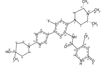 C[C@@H]1CN(c2cc(F)c(-c3cnc(N4CCC(C)(O)CC4)nc3)cc2NC(=O)c2c[nH]c(=O)cc2C(F)(F)F)C[C@H](C)N1C